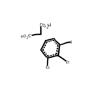 CCc1cccc(I)c1CC.O=C(O)CC(=O)O